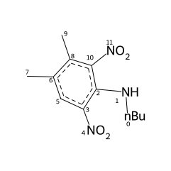 CCCCNc1c([N+](=O)[O-])cc(C)c(C)c1[N+](=O)[O-]